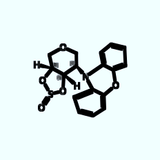 O=S1O[C@H]2[C@H](N3c4ccccc4Oc4ccccc43)COC[C@H]2O1